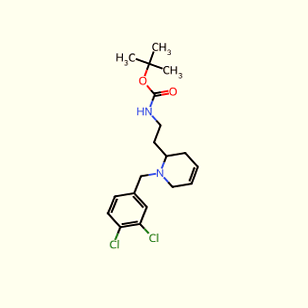 CC(C)(C)OC(=O)NCCC1CC=CCN1Cc1ccc(Cl)c(Cl)c1